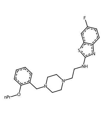 CCCOc1ccccc1CN1CCN(CCNc2nc3ccc(F)cc3s2)CC1